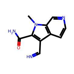 Cn1c(C(N)=O)c(C=N)c2ccncc21